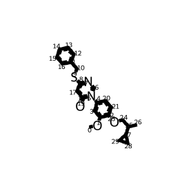 COc1cc(-n2cnc(SCc3ccccc3)cc2=O)ccc1OCC(C)C1CC1